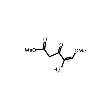 CO/C=C(/C)C(=O)CC(=O)OC